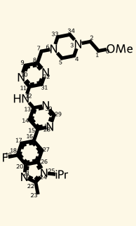 COCCN1CCN(Cc2cnc(Nc3cc(-c4cc(F)c5nc(C)n(C(C)C)c5c4)ncn3)cn2)CC1